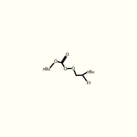 CCCCOC(=O)OOCC(CC)CCCC